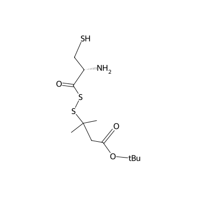 CC(C)(C)OC(=O)CC(C)(C)SSC(=O)[C@@H](N)CS